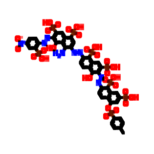 Cc1ccc(S(=O)(=O)Oc2cc(S(=O)(=O)O)cc3c(S(=O)(=O)O)c(N=Nc4c(S(=O)(=O)O)cc5c(S(=O)(=O)O)c(N=Nc6cc(S(=O)(=O)O)c7cc(S(=O)(=O)O)c(N=Nc8ccc([N+](=O)[O-])cc8S(=O)(=O)O)c(O)c7c6N)ccc5c4O)ccc23)cc1